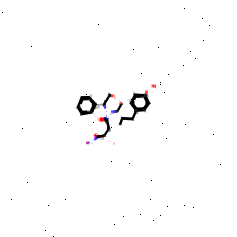 CCOc1ccc(CCC[C@@H](C(=O)N2CCOC[C@@H]2c2ccccc2)[C@H](O)C(=O)NO)cc1